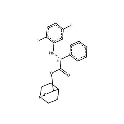 O=C(OC1CN2CCC1CC2)[C@H](Nc1cc(F)ccc1F)c1ccccc1